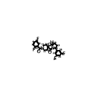 O=C(c1cc(F)ccc1F)N1CCC2(CC1)O[C@@H]1CC[C@@H](c3cc(F)cc(F)c3)N1C2=O